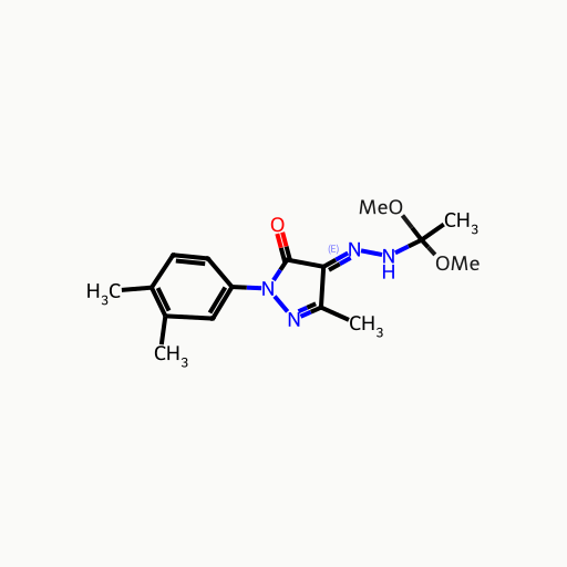 COC(C)(N/N=C1/C(=O)N(c2ccc(C)c(C)c2)N=C1C)OC